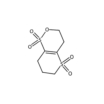 O=S1(=O)CCCC2=C1CCOS2(=O)=O